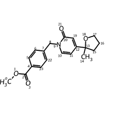 COC(=O)c1ccc(Cn2ccc(C3(C)CCCO3)cc2=O)cc1